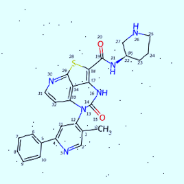 Cc1cnc(-c2ccccc2)cc1N1C(=O)Nc2c(C(=O)N[C@@H]3CCCNC3)sc3nccc1c23